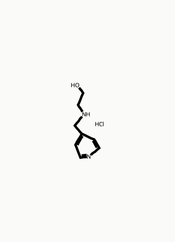 Cl.OCCNCc1ccncc1